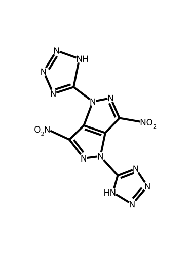 O=[N+]([O-])c1nn(-c2nnn[nH]2)c2c([N+](=O)[O-])nn(-c3nnn[nH]3)c12